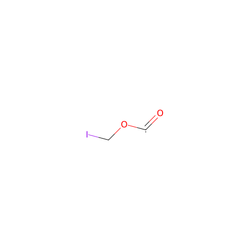 O=[C]OCI